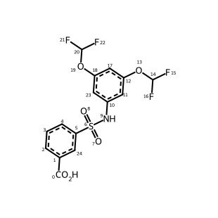 O=C(O)c1cccc(S(=O)(=O)Nc2cc(OC(F)F)cc(OC(F)F)c2)c1